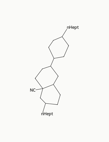 CCCCCCCC1CCC(C2CCC3(C#N)CC(CCCCCCC)CCC3C2)CC1